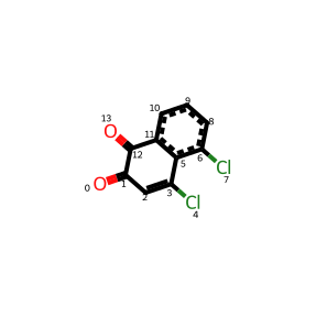 O=C1C=C(Cl)c2c(Cl)cccc2C1=O